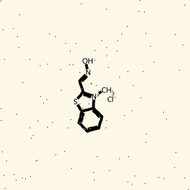 C[n+]1c(C=NO)sc2ccccc21.[Cl-]